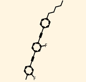 CCCCCc1ccc(C#Cc2ccc(C#Cc3ccc(C)c(F)c3)cc2F)cc1